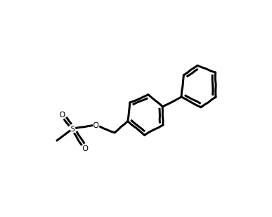 CS(=O)(=O)OCc1ccc(-c2ccccc2)cc1